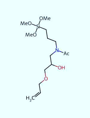 C=CCOCC(O)CN(CCC[Si](OC)(OC)OC)C(C)=O